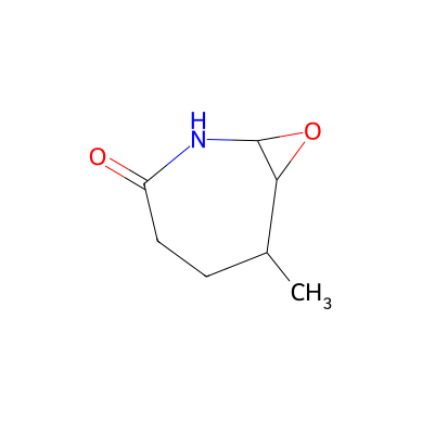 CC1CCC(=O)NC2OC12